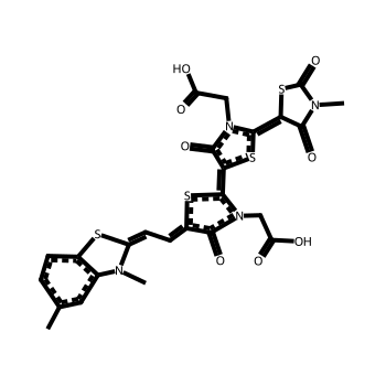 Cc1ccc2c(c1)N(C)C(=CC=c1s/c(=c3/s/c(=C4/SC(=O)N(C)C4=O)n(CC(=O)O)c3=O)n(CC(=O)O)c1=O)S2